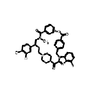 COC(=O)c1ccc(Cn2c(C(=O)C3CCN(CCC(CN(C)C(=O)c4ccccc4)c4ccc(Cl)c(Cl)c4)CC3)nc3c(I)cccc32)cc1